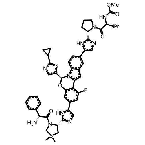 COC(=O)NC(C(=O)N1CCC[C@H]1c1ncc(-c2ccc3c(c2)cc2n3[C@H](c3cnc(C4CC4)s3)Oc3cc(-c4cnc([C@@H]5CS(C)(C)CN5C(=O)[C@H](N)c5ccccc5)[nH]4)cc(F)c3-2)[nH]1)C(C)C